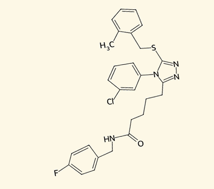 Cc1ccccc1CSc1nnc(CCCCC(=O)NCc2ccc(F)cc2)n1-c1cccc(Cl)c1